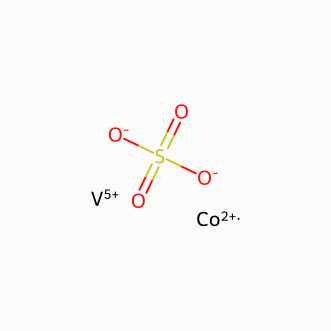 O=S(=O)([O-])[O-].[Co+2].[V+5]